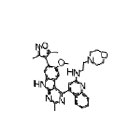 COc1cc2c(cc1-c1c(C)noc1C)[nH]c1nc(C)nc(-c3cc(NCCN4CCOCC4)nc4ccccc34)c12